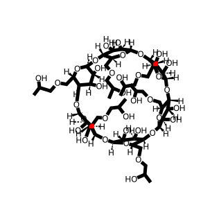 CC(O)COC[C@@H]1O[C@H]2O[C@@H]3[C@H](O)[C@@H](O)[C@H](O[C@@H]4[C@H](O)[C@@H](O)[C@H](O[C@@H]5[C@H](O)[C@@H](O)[C@H](O[C@@H]6[C@H](O)[C@@H](O)[C@H](O[C@@H]7[C@H](O)[C@@H](O)[C@H](O[C@@H]1[C@H](O)[C@H]2O)O[C@H]7COCC(C)O)O[C@H]6COCC(C)O)O[C@H]5COCC(C)O)O[C@H]4COCC(C)O)O[C@H]3COCC(C)O